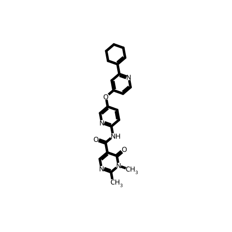 Cc1ncc(C(=O)Nc2ccc(Oc3ccnc(C4=CCCCC4)c3)cn2)c(=O)n1C